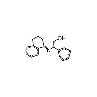 OC[C@H](/N=C1\CCCc2ccccc21)c1ccccc1